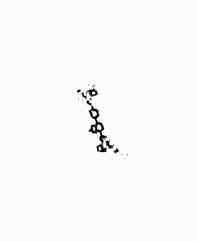 C=C(N[C@H](C(=O)N1C[C@@H]2CC[C@@]1(c1nc(-c3ccc(-c4ccc(-c5c[nH]c([C@@]67CC[C@@H](CN6C(=O)[C@@H](NC(=O)OC)C(C)C)C7)n5)c5oc(C)cc45)cc3)c[nH]1)C2)C(C)C)OC